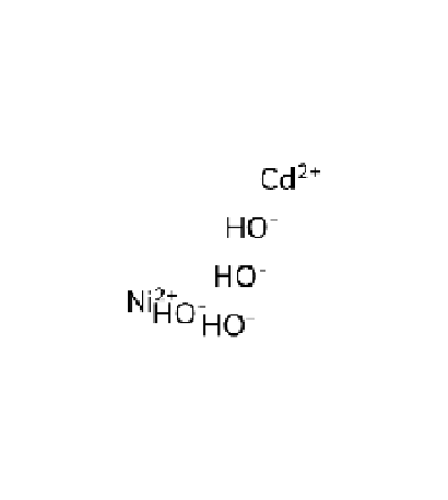 [Cd+2].[Ni+2].[OH-].[OH-].[OH-].[OH-]